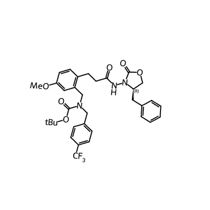 COc1ccc(CCC(=O)NN2C(=O)OC[C@H]2Cc2ccccc2)c(CN(Cc2ccc(C(F)(F)F)cc2)C(=O)OC(C)(C)C)c1